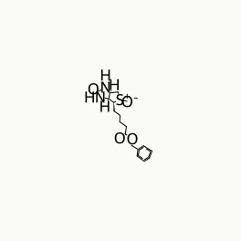 O=C1N[C@H]2[C@H](C[S+]([O-])[C@H]2CCCCC(=O)OCc2ccccc2)N1